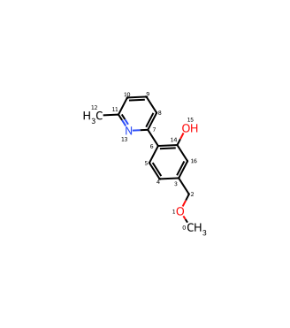 COCc1ccc(-c2cccc(C)n2)c(O)c1